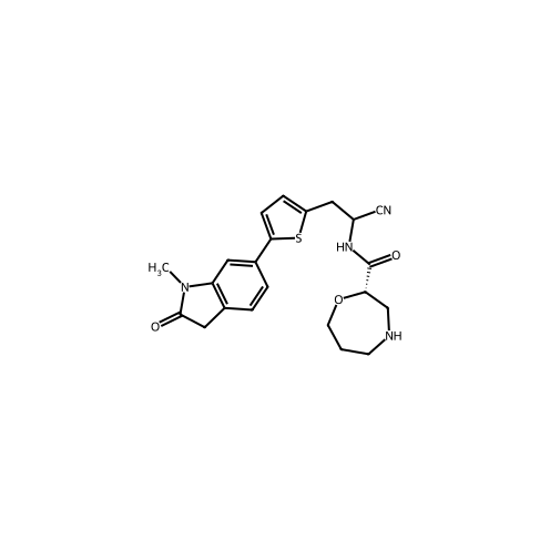 CN1C(=O)Cc2ccc(-c3ccc(CC(C#N)NC(=O)[C@@H]4CNCCCO4)s3)cc21